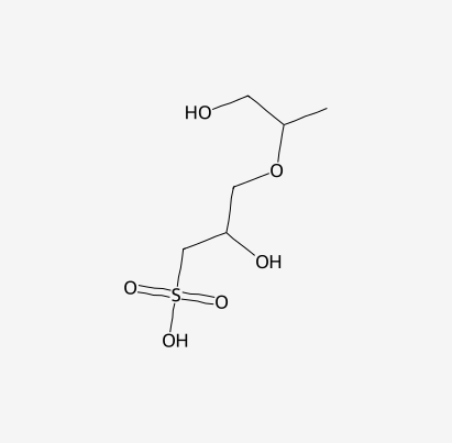 CC(CO)OCC(O)CS(=O)(=O)O